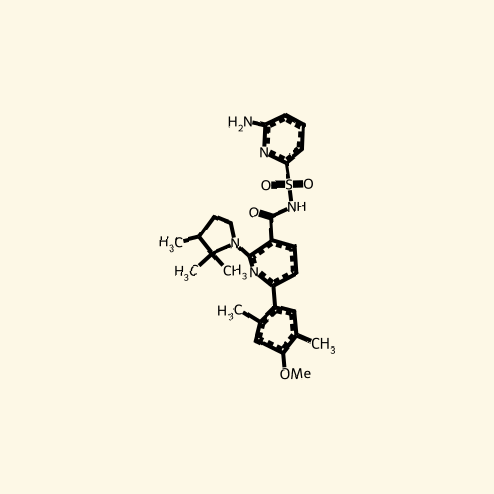 COc1cc(C)c(-c2ccc(C(=O)NS(=O)(=O)c3cccc(N)n3)c(N3CCC(C)C3(C)C)n2)cc1C